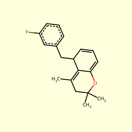 CC1=C2C(=CC=CC2Cc2cccc(F)c2)OC(C)(C)C1